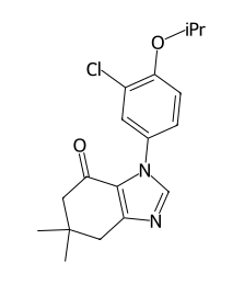 CC(C)Oc1ccc(-n2cnc3c2C(=O)CC(C)(C)C3)cc1Cl